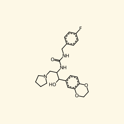 O=C(NCc1ccc(F)cc1)NC(CN1CCCC1)C(O)c1ccc2c(c1)OCCO2